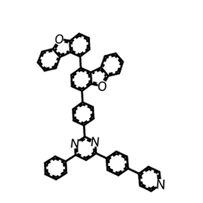 c1ccc(-c2cc(-c3ccc(-c4ccncc4)cc3)nc(-c3ccc(-c4ccc(-c5cccc6oc7ccccc7c56)c5c4oc4ccccc45)cc3)n2)cc1